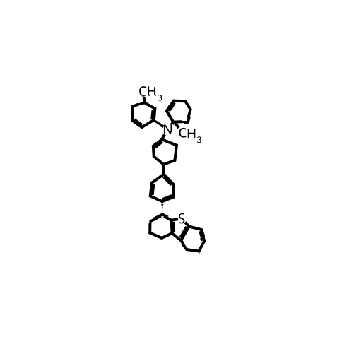 CC1C=C(N(C2=CCC(c3ccc([C@H]4CCCc5c4sc4c5CCC=C4)cc3)CC2)C2(C)C=CCCC2)C=CC1